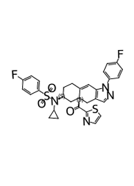 O=C(c1nccs1)[C@]12Cc3cnn(-c4ccc(F)cc4)c3C=C1CC[C@H](N(C1CC1)S(=O)(=O)c1ccc(F)cc1)C2